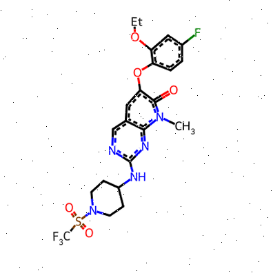 CCOc1cc(F)ccc1Oc1cc2cnc(NC3CCN(S(=O)(=O)C(F)(F)F)CC3)nc2n(C)c1=O